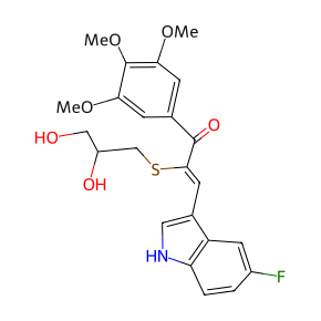 COc1cc(C(=O)C(=Cc2c[nH]c3ccc(F)cc23)SCC(O)CO)cc(OC)c1OC